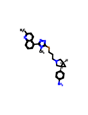 Cc1ccc2c(-c3nnc(SCCCN4C[C@H]5C[C@@]5(c5ccc(N)cc5)C4)n3C)cccc2n1